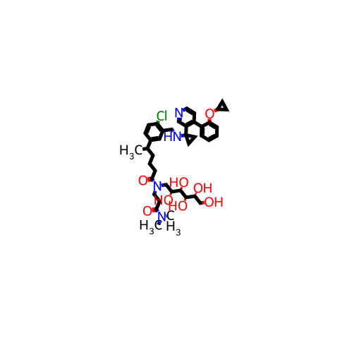 CC(CCCC(=O)N(CCC(=O)N(C)C)C[C@H](O)[C@@H](O)[C@H](O)[C@H](O)CO)c1ccc(Cl)c(CNC2(c3cnccc3-c3ccccc3OC3CC3)CC2)c1